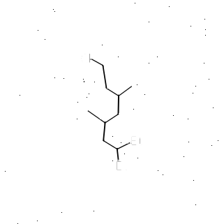 CCC(CC)CC(C)CC(C)CCCl